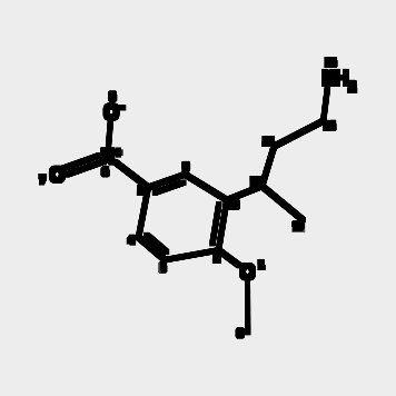 COc1ccc([N+](=O)[O-])cc1C(C)CCN